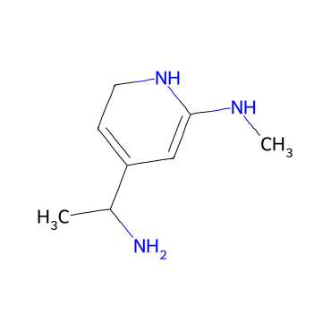 CNC1=CC(C(C)N)=CCN1